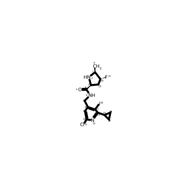 C[C@@H]1N[C@H](C(=O)NCc2cc(Cl)nc(C3CC3)c2I)C[C@H]1F